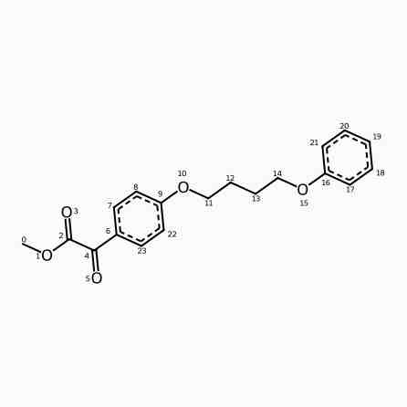 COC(=O)C(=O)c1ccc(OCCCCOc2ccccc2)cc1